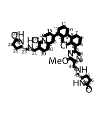 COc1nc(-c2cccc(-c3cccc(-c4ccn5c(=O)c(CNC[C@@H]6CCC(=O)N6)ccc5c4)c3C)c2Cl)cnc1CNC[C@@H]1CCC(=O)N1